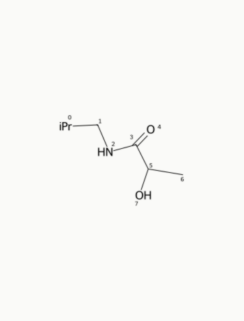 CC(C)CNC(=O)C(C)O